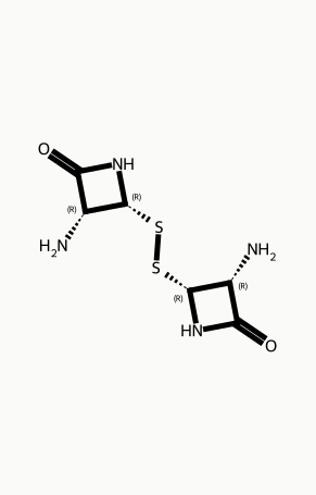 N[C@@H]1C(=O)N[C@@H]1SS[C@H]1NC(=O)[C@H]1N